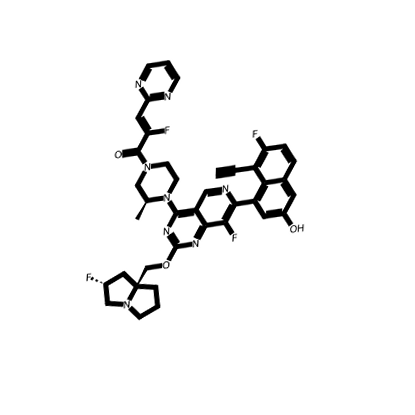 C#Cc1c(F)ccc2cc(O)cc(-c3ncc4c(N5CCN(C(=O)C(F)=Cc6ncccn6)C[C@@H]5C)nc(OC[C@@]56CCCN5C[C@H](F)C6)nc4c3F)c12